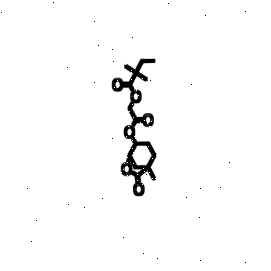 CCC(C)(C)C(=O)OCC(=O)OC1CCC2(C)CC1OC2=O